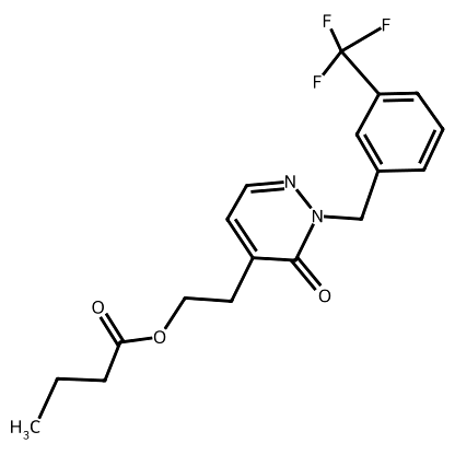 CCCC(=O)OCCc1ccnn(Cc2cccc(C(F)(F)F)c2)c1=O